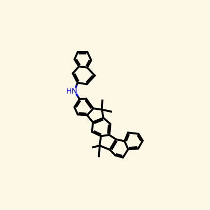 CC1(C)c2cc(Nc3ccc4ccccc4c3)ccc2-c2cc3c(cc21)-c1c(ccc2ccccc12)C3(C)C